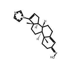 C[C@]12CC/C(=N\O)C=C1CC[C@@H]1[C@@H]2CC[C@]2(C)C(n3ccnc3)=CC[C@@H]12